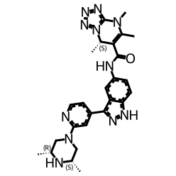 CC1=C(C(=O)Nc2ccc3[nH]nc(-c4ccnc(N5C[C@@H](C)N[C@@H](C)C5)c4)c3c2)[C@H](C)n2nnnc2N1C